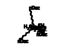 CCCCCCCCCCCCCCCCCC[N+](C)(C)CCCCCCCCCCCCCCCCCC.CCCCCCCCCCCC[N+](C)(C)CC.[Br-].[Br-]